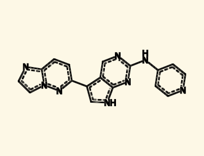 c1cc(Nc2ncc3c(-c4ccc5nccn5n4)c[nH]c3n2)ccn1